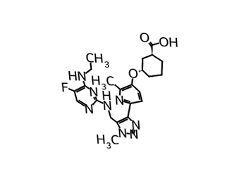 CCNc1nc(NCc2c(-c3ccc(O[C@H]4CCC[C@H](C(=O)O)C4)c(C)n3)nnn2C)ncc1F